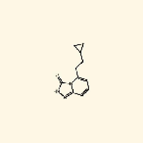 O=c1[nH]nc2cccc(CCC3CC3)n12